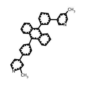 Cc1cncc(-c2cccc(-c3c4ccccc4c(-c4ccc(-c5ccnc(C)c5)cc4)c4ccccc34)c2)c1